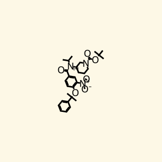 CC(C)N(C(=O)c1ccc(OC(C)(C)c2ccccc2)c([N+](=O)[O-])c1)[C@@H]1CCCN(C(=O)OC(C)(C)C)C1